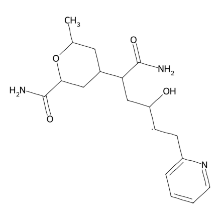 CC1CC(C(CC(O)[CH]Cc2ccccn2)C(N)=O)CC(C(N)=O)O1